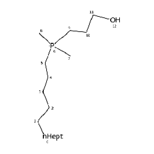 CCCCCCCCCCCC[P](C)(C)CCCO